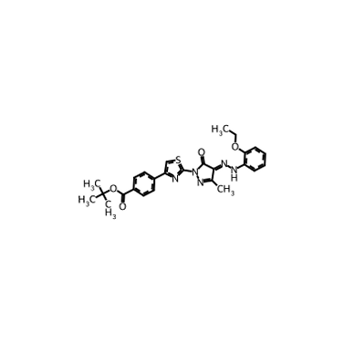 CCOc1ccccc1N/N=C1/C(=O)N(c2nc(-c3ccc(C(=O)OC(C)(C)C)cc3)cs2)N=C1C